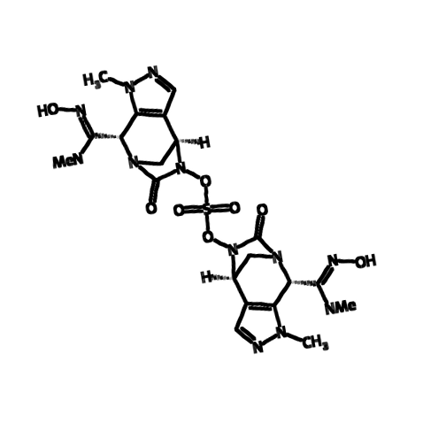 CN/C(=N\O)[C@@H]1c2c(cnn2C)[C@@H]2CN1C(=O)N2OS(=O)(=O)ON1C(=O)N2C[C@H]1c1cnn(C)c1[C@H]2/C(=N/O)NC